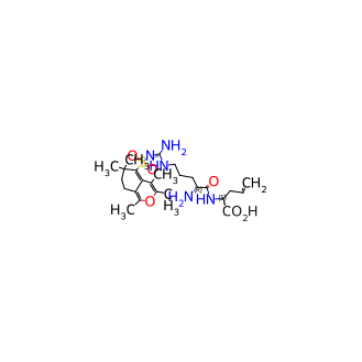 C=CC[C@H](NC(=O)[C@H](N)CCCNC(N)=NS(=O)(=O)C1=C2C(C)=C(C)OC(C)=C2CCC1(C)C)C(=O)O